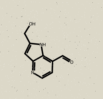 O=Cc1ccnc2cc(CO)[nH]c12